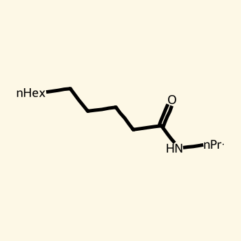 CC[CH]NC(=O)CCCCCCCCCC